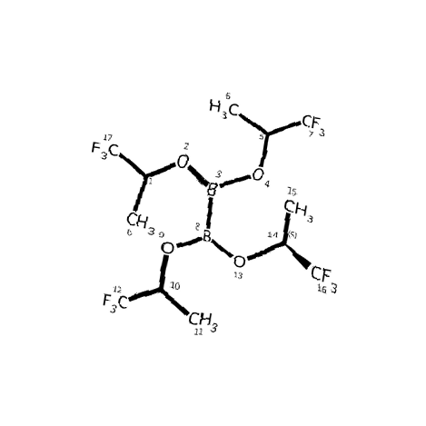 CC(OB(OC(C)C(F)(F)F)B(OC(C)C(F)(F)F)O[C@@H](C)C(F)(F)F)C(F)(F)F